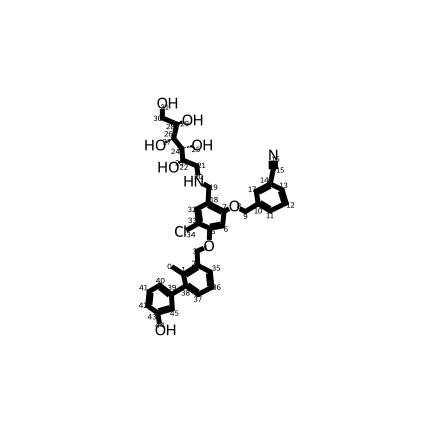 Cc1c(COc2cc(OCc3cccc(C#N)c3)c(CNC[C@H](O)[C@@H](O)[C@H](O)[C@H](O)CO)cc2Cl)cccc1-c1cccc(O)c1